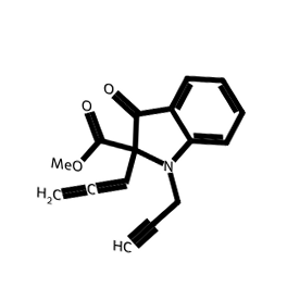 C#CCN1c2ccccc2C(=O)C1(C=C=C)C(=O)OC